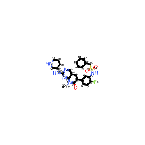 CC(C)n1c(=O)c(-c2ccc(F)c(NS(=O)(=O)Cc3ccccc3)c2)cc2cnc(N[C@H]3CCCNC3)nc21